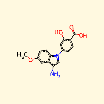 COc1ccc2c(c1)c(N)cn2-c1ccc(C(=O)O)c(O)c1